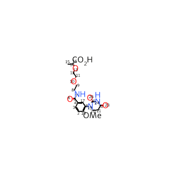 COc1ccc(C(=O)NCCOCCOC(C)C(=O)O)cc1N1CCC(=O)NC1=O